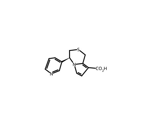 O=C(O)c1ccn2c1CSC[C@@H]2c1cccnc1